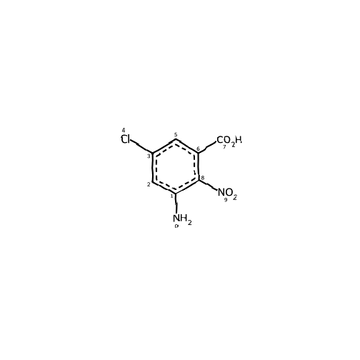 Nc1cc(Cl)cc(C(=O)O)c1[N+](=O)[O-]